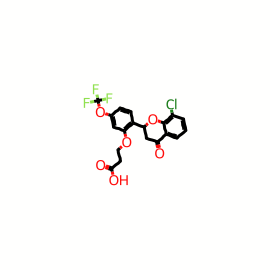 O=C(O)CCOc1cc(OC(F)(F)F)ccc1C1CC(=O)c2cccc(Cl)c2O1